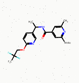 CC(=O)Nc1cc(C(=O)NC(C)c2ccc(OCC(F)(F)C(F)(F)F)nc2)cc(C)n1